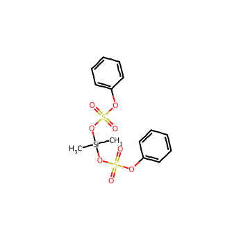 C[Si](C)(OS(=O)(=O)Oc1ccccc1)OS(=O)(=O)Oc1ccccc1